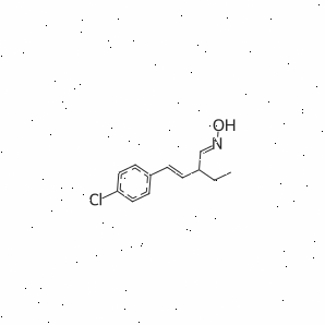 CCC(C=Cc1ccc(Cl)cc1)C=NO